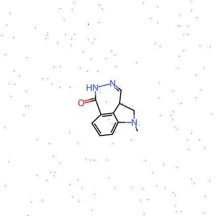 CN1CC2C=NNC(=O)c3cccc1c32